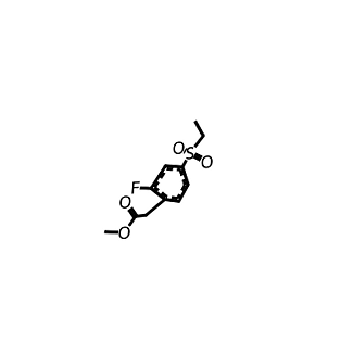 CCS(=O)(=O)c1ccc(CC(=O)OC)c(F)c1